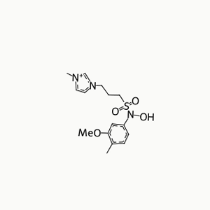 COc1cc(N(O)S(=O)(=O)CCCn2cc[n+](C)c2)ccc1C